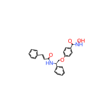 O=C(/C=C/c1ccccc1)N[C@@H](COc1ccc(C(=O)NO)cc1)c1ccccc1